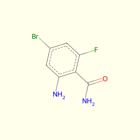 NC(=O)c1c(N)cc(Br)cc1F